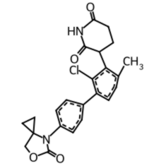 Cc1ccc(-c2ccc(N3C(=O)OCC34CC4)cc2)c(Cl)c1C1CCC(=O)NC1=O